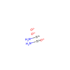 [NH2][Ti+3].[NH2][Ti+3].[O-2].[O-2].[O-2]